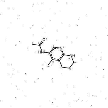 CC(=O)Nc1cnc2c(c1C)CCCN2